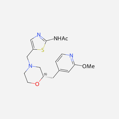 COc1cc(C[C@H]2CN(Cc3cnc(NC(C)=O)s3)CCO2)ccn1